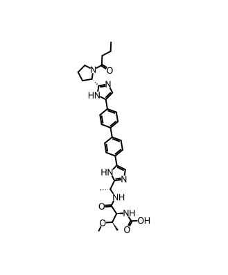 CCCC(=O)N1CCC[C@H]1c1ncc(-c2ccc(-c3ccc(-c4cnc([C@@H](C)NC(=O)[C@@H](NC(=O)O)[C@@H](C)OC)[nH]4)cc3)cc2)[nH]1